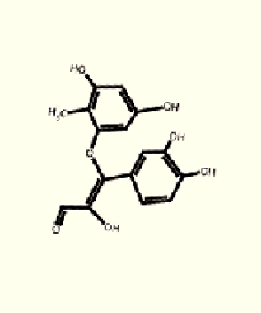 Cc1c(O)cc(O)cc1O/C(=C(/O)C=O)c1ccc(O)c(O)c1